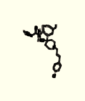 CC(C)(C)C(=O)Nc1ccc(F)cc1C1(O)CCN(CC=Cc2ccc(Cl)cc2)CC1